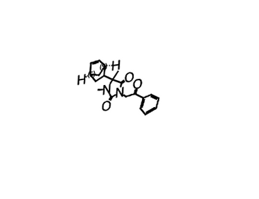 CN1C(=O)N(CC(=O)c2ccccc2)C(=O)C1(C)C1C[C@H]2C=C[C@@H]1C2